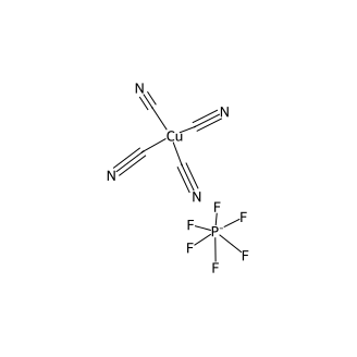 F[P-](F)(F)(F)(F)F.N#[C][Cu]([C]#N)([C]#N)[C]#N